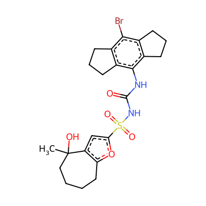 CC1(O)CCCCc2oc(S(=O)(=O)NC(=O)Nc3c4c(c(Br)c5c3CCC5)CCC4)cc21